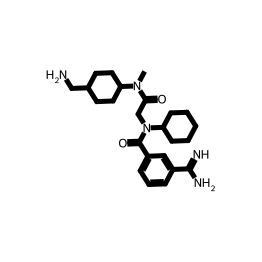 CN(C(=O)CN(C(=O)c1cccc(C(=N)N)c1)C1CCCCC1)C1CCC(CN)CC1